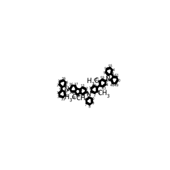 Cc1cc(N(c2ccccc2)c2ccc3c(c2)C(C)(C)c2cc(-n4c5ccccc5c5ccccc54)ccc2-3)ccc1-c1ccc(-n2c3ccccc3c3ccccc32)cc1C